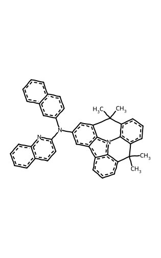 CC1(C)c2cccc3c2-n2c4c1cccc4c1cc(N(c4ccc5ccccc5c4)c4ccc5ccccc5n4)cc(c12)C3(C)C